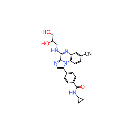 N#Cc1ccc2c(c1)nc(NCC(O)CO)c1ncc(-c3ccc(C(=O)NC4CC4)cc3)n12